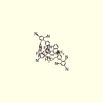 C=CCc1cc(-c2c(C#N)cc(C#N)cc2C#N)ccc1N(C)c1ccc(-c2ccc(C(F)(F)F)cc2C(F)(F)F)cc1-c1c(C#N)cccc1-n1c2ccc(-c3c(C#N)cc(C#N)cc3C#N)cc2c2cc(-c3c(C#N)cc(C#N)cc3C#N)ccc21